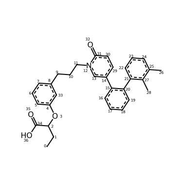 CCC(Oc1cccc(CCCn2cc(-c3ccccc3-c3cccc(C)c3C)ccc2=O)c1)C(=O)O